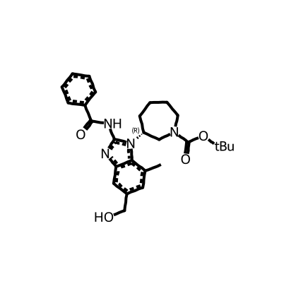 Cc1cc(CO)cc2nc(NC(=O)c3ccccc3)n([C@@H]3CCCCN(C(=O)OC(C)(C)C)C3)c12